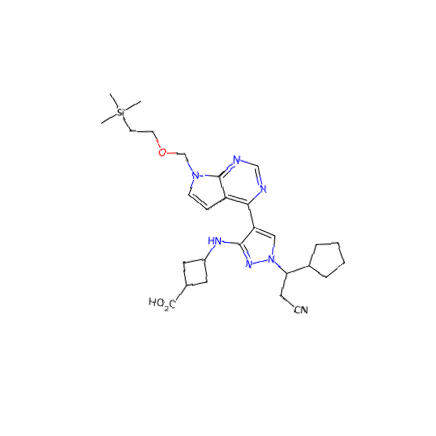 C[Si](C)(C)CCOCn1ccc2c(-c3cn(C(CC#N)C4CCCC4)nc3NC3CC(C(=O)O)C3)ncnc21